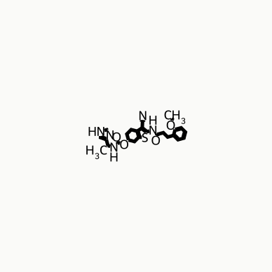 CCOc1ccccc1CCC(=O)Nc1sc2c(c1C#N)CCC(OC(=O)NC(C)c1c[nH]cn1)C2